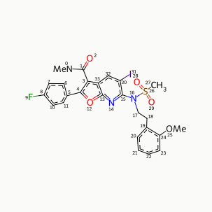 CNC(=O)c1c(-c2ccc(F)cc2)oc2nc(N(CCc3ccccc3OC)S(C)(=O)=O)c(I)cc12